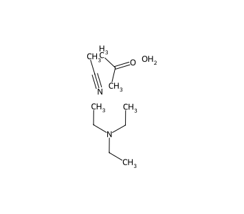 CC#N.CC(C)=O.CCN(CC)CC.O